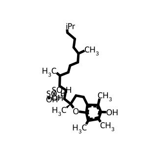 Cc1c(C)c2c(c(C)c1O)CC[C@@](C)(CCCC(C)CCCC(C)CCCC(C)C)O2.O=S(=O)(O)O.O=S(=O)(O)O